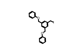 ICc1cc(COc2ccccc2)cc(COc2ccccc2)c1